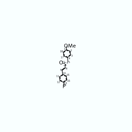 COc1ccc(C[S+]([O-])C=Cc2ccc(F)cc2)cc1